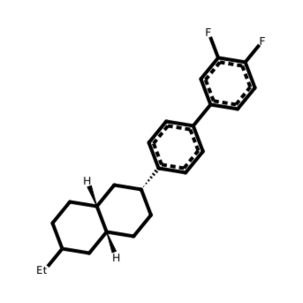 CCC1CC[C@@H]2C[C@H](c3ccc(-c4ccc(F)c(F)c4)cc3)CC[C@@H]2C1